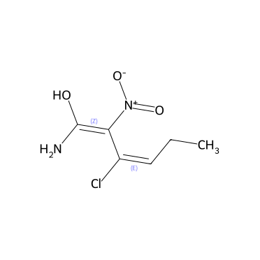 CC/C=C(Cl)\C(=C(/N)O)[N+](=O)[O-]